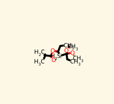 C=C(C)C(=O)OC(CC)[SiH2]C(CC)(OC)OC